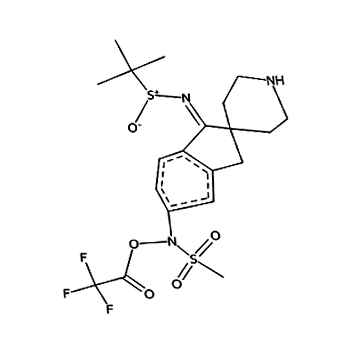 CC(C)(C)[S+]([O-])N=C1c2ccc(N(OC(=O)C(F)(F)F)S(C)(=O)=O)cc2CC12CCNCC2